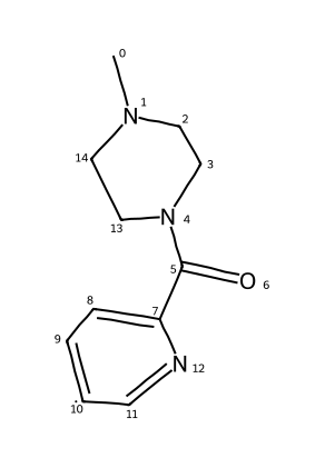 CN1CCN(C(=O)c2cc[c]cn2)CC1